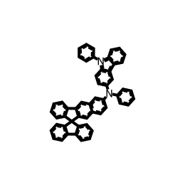 c1ccc(N(c2ccc3cc4c(cc3c2)-c2ccccc2C42c3ccccc3-c3ccccc32)c2ccc3c(c2)c2ccccc2n3-c2ccccc2)cc1